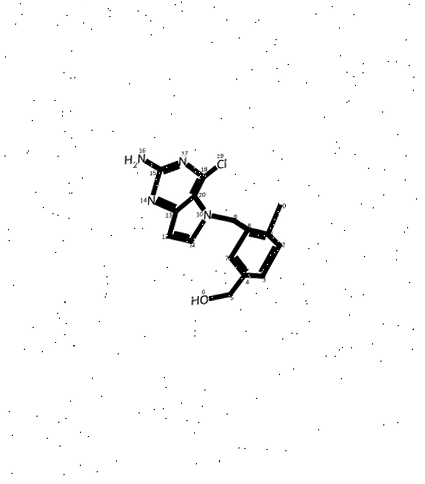 Cc1ccc(CO)cc1Cn1ccc2nc(N)nc(Cl)c21